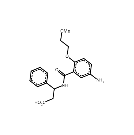 COCCOc1ccc(N)cc1C(=O)NC(CC(=O)O)c1ccccc1